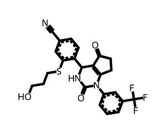 N#Cc1ccc(C2NC(=O)N(c3cccc(C(F)(F)F)c3)C3=C2C(=O)CC3)c(SCCCO)c1